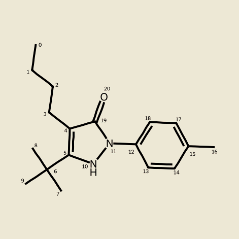 CCCCc1c(C(C)(C)C)[nH]n(-c2ccc(C)cc2)c1=O